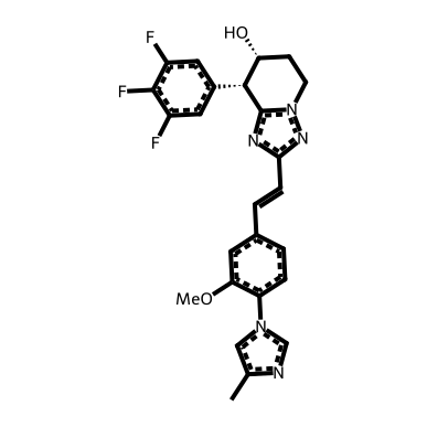 COc1cc(/C=C/c2nc3n(n2)CC[C@@H](O)[C@H]3c2cc(F)c(F)c(F)c2)ccc1-n1cnc(C)c1